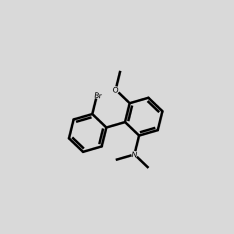 COc1cccc(N(C)C)c1-c1ccccc1Br